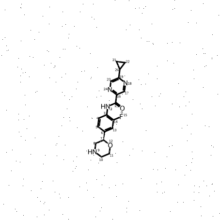 O=C(Nc1ccc([C@@H]2CNCCO2)cc1F)c1cnc(C2CC2)cn1